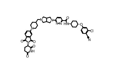 N#Cc1ccc(O[C@H]2CC[C@H](NC(=O)c3ccc(N4CC5CN(CC6CCN(c7ccc8c(c7)C(=O)N(C7CCC(=O)NC7=O)C8=O)CC6)CC5C4)nn3)CC2)cc1Cl